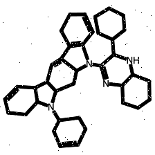 C1=CC2=C(CC1)C1=CC3C4C=CCCC4N(C4CC=CCC4)C3CC1N2C1=NC2CCCCC2NC1C1CCCCC1